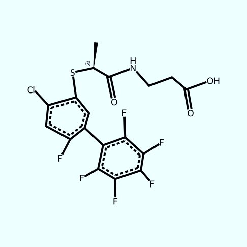 C[C@H](Sc1cc(-c2c(F)c(F)c(F)c(F)c2F)c(F)cc1Cl)C(=O)NCCC(=O)O